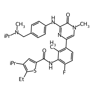 CCc1sc(C(=O)Nc2c(F)ccc(-c3cn(C)c(=O)c(Nc4ccc(CN(C)C(C)C)cc4)n3)c2C)cc1C(C)C